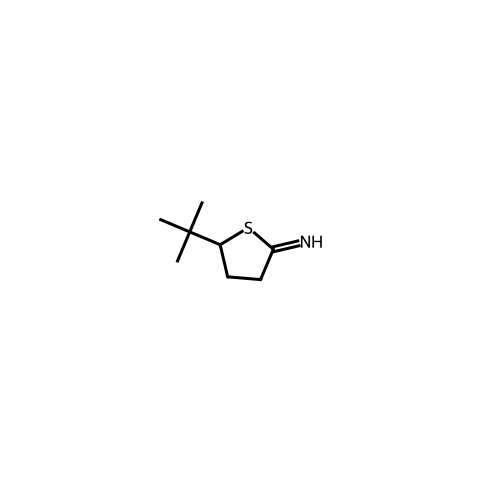 CC(C)(C)C1CCC(=N)S1